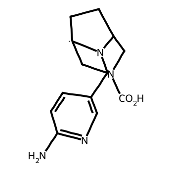 Nc1ccc(CN2[C]3CCC2CN(C(=O)O)C3)cn1